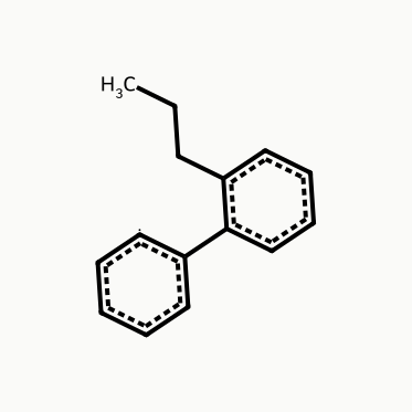 CCCc1ccccc1-c1[c]cccc1